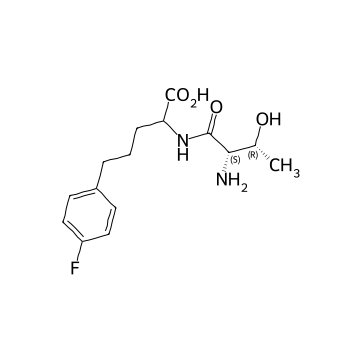 C[C@@H](O)[C@H](N)C(=O)NC(CCCc1ccc(F)cc1)C(=O)O